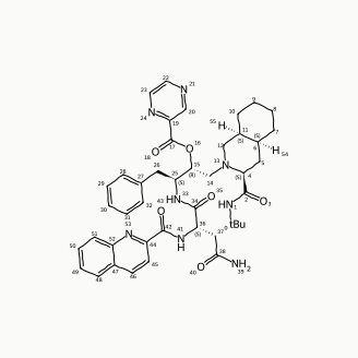 CC(C)(C)NC(=O)[C@@H]1C[C@@H]2CCCC[C@@H]2CN1C[C@@H](OC(=O)c1cnccn1)[C@H](Cc1ccccc1)NC(=O)[C@H](CC(N)=O)NC(=O)c1ccc2ccccc2n1